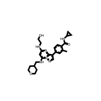 Cc1cc(-c2cnn3c(NCC4CCOCC4)cc(NCCO)nc23)ccc1C(=O)NC1CC1